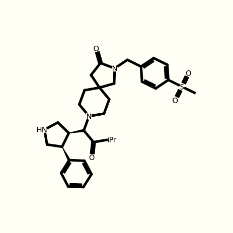 CC(C)C(=O)C([C@@H]1CNC[C@@H]1c1ccccc1)N1CCC2(CC1)CC(=O)N(Cc1ccc(S(C)(=O)=O)cc1)C2